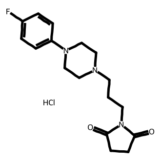 Cl.O=C1CCC(=O)N1CCCN1CCN(c2ccc(F)cc2)CC1